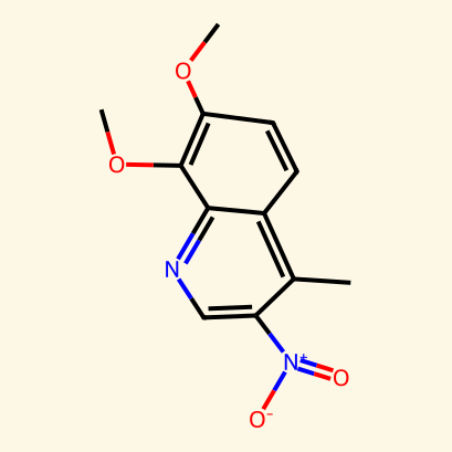 COc1ccc2c(C)c([N+](=O)[O-])cnc2c1OC